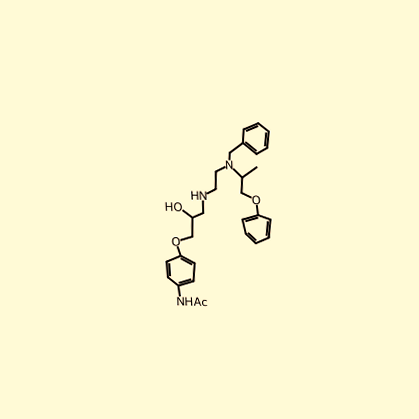 CC(=O)Nc1ccc(OCC(O)CNCCN(Cc2ccccc2)C(C)COc2ccccc2)cc1